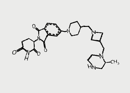 C[C@H]1CNCCN1CC1CN(CC2CCN(c3ccc4c(c3)C(=O)N(C3CCC(=O)NC3=O)C4=O)CC2)C1